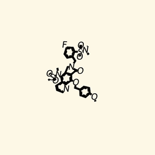 COc1ccc(COc2c3c(c(N(C)S(C)(=O)=O)c4cccnc24)CN(Cc2ccc(F)cc2S(=O)(=O)N(C)C)C3=O)cc1